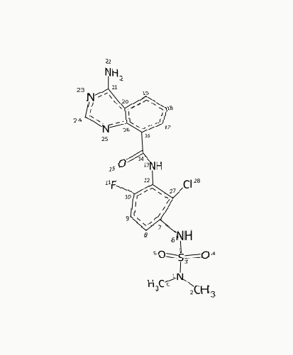 CN(C)S(=O)(=O)Nc1ccc(F)c(NC(=O)c2cccc3c(N)ncnc23)c1Cl